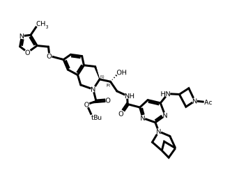 CC(=O)N1CC(Nc2cc(C(=O)NC[C@@H](O)[C@@H]3Cc4ccc(OCc5ocnc5C)cc4CN3C(=O)OC(C)(C)C)nc(N3CC4CC(C4)C3)n2)C1